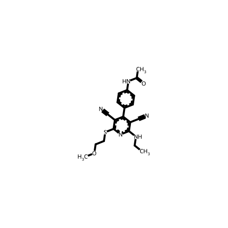 CCNc1nc(SCCOC)c(C#N)c(-c2ccc(NC(C)=O)cc2)c1C#N